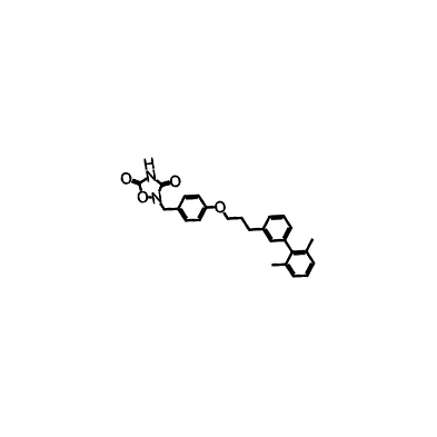 Cc1cccc(C)c1-c1cccc(CCCOc2ccc(Cn3oc(=O)[nH]c3=O)cc2)c1